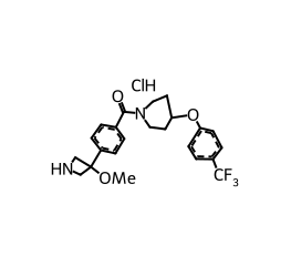 COC1(c2ccc(C(=O)N3CCC(Oc4ccc(C(F)(F)F)cc4)CC3)cc2)CNC1.Cl